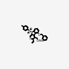 C=Cc1ncc2c(c1COC)c1c(OCc3ccccc3)cccc1n2S(=O)(=O)c1ccc(C)cc1